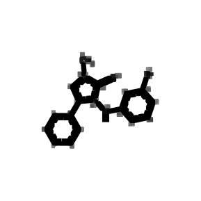 Cn1cc(-c2ccccc2)n(Nc2cccc(Br)c2)c1=S